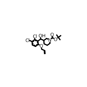 C=CCOc1ccc(Cl)c(Cl)c1C(O)C1CCCN(C(=O)OC(C)(C)C)C1